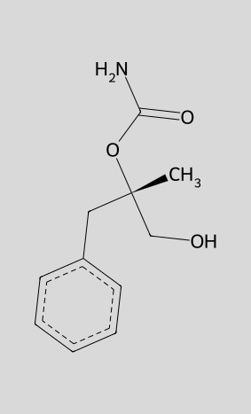 C[C@@](CO)(Cc1ccccc1)OC(N)=O